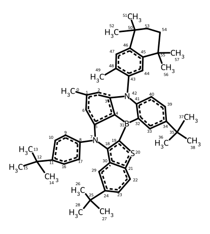 Cc1cc2c3c(c1)N(c1ccc(C(C)(C)C)cc1)c1c(sc4ccc(C(C)(C)C)cc14)B3c1cc(C(C)(C)C)ccc1N2c1cc2c(cc1C)C(C)(C)CCC2(C)C